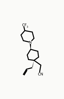 C=CC[C@]1(CC#N)CC[C@@H](N2CCC(C(F)(F)F)CC2)CC1